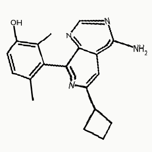 Cc1ccc(O)c(C)c1-c1nc(C2CCC2)cc2c(N)ncnc12